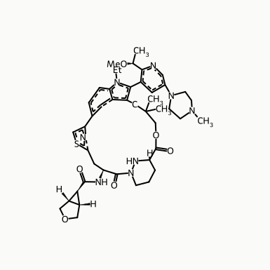 CCn1c(-c2cc(N3CCN(C)CC3)cnc2[C@H](C)OC)c2c3cc(ccc31)-c1csc(n1)C[C@H](NC(=O)[C@H]1[C@@H]3COC[C@@H]31)C(=O)N1CCC[C@H](N1)C(=O)OCC(C)(C)C2